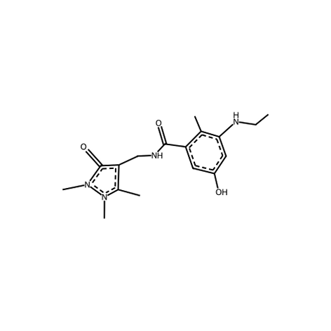 CCNc1cc(O)cc(C(=O)NCc2c(C)n(C)n(C)c2=O)c1C